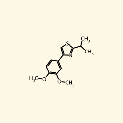 COc1ccc(-c2csc(C(C)C)n2)cc1OC